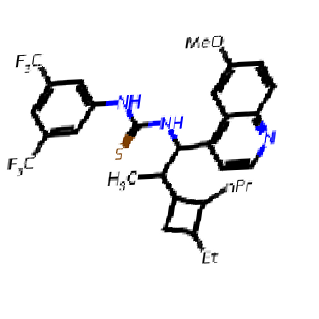 CCCC1C(CC)CC1C(C)C(NC(=S)Nc1cc(C(F)(F)F)cc(C(F)(F)F)c1)c1ccnc2ccc(OC)cc12